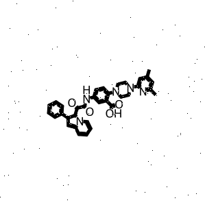 Cc1cc(C)nc(N2CCN(c3ccc(NC(=O)C(=O)C4C(c5ccccc5)C=C5C=CC=CN54)cc3C(=O)O)CC2)c1